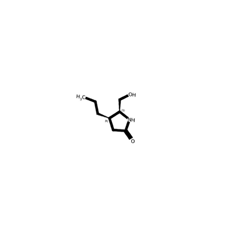 CCC[C@@H]1CC(=O)N[C@@H]1CO